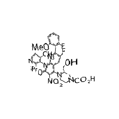 COc1cccc(F)c1-c1nc2c(cc1F)c(N1CCN(C(=O)O)C[C@@H]1CO)c([N+](=O)[O-])c(=O)n2-c1c(C)ccnc1C(C)C